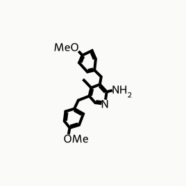 COc1ccc(Cc2cnc(N)c(Cc3ccc(OC)cc3)c2C)cc1